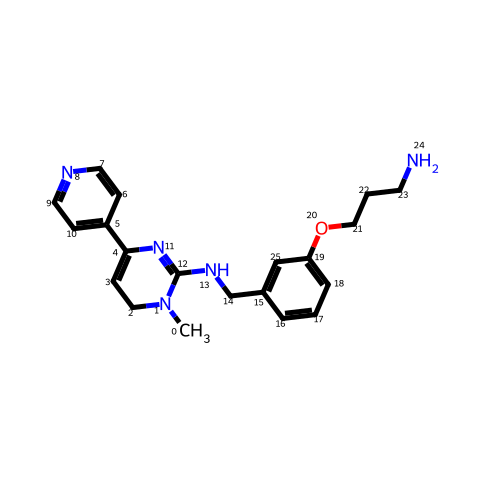 CN1CC=C(c2ccncc2)N=C1NCc1cccc(OCCCN)c1